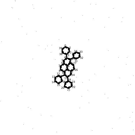 c1ccc(-c2cc3ccc4c(-c5ccccc5)c(-c5ccccc5)cc5ccc(c2-c2ccccc2)c3c54)cc1